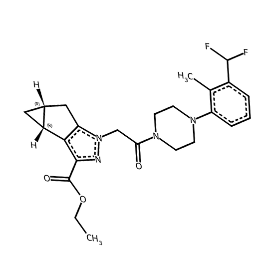 CCOC(=O)c1nn(CC(=O)N2CCN(c3cccc(C(F)F)c3C)CC2)c2c1[C@@H]1C[C@@H]1C2